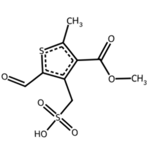 COC(=O)c1c(C)sc(C=O)c1CS(=O)(=O)O